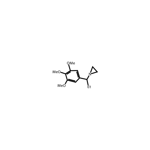 CCC(c1cc(OC)c(OC)c(OC)c1)N1CC1